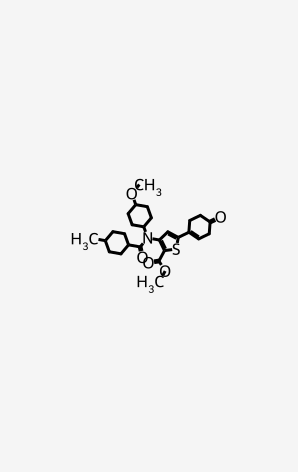 COC(=O)c1sc(C2=CCC(=O)CC2)cc1N(C(=O)C1CCC(C)CC1)C1CCC(OC)CC1